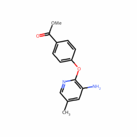 COC(=O)c1ccc(Oc2ncc(C)cc2N)cc1